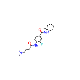 CN(C)C/C=C/C(=O)Nc1ccc(C(=O)NC2(C)CCCCC2)cc1F